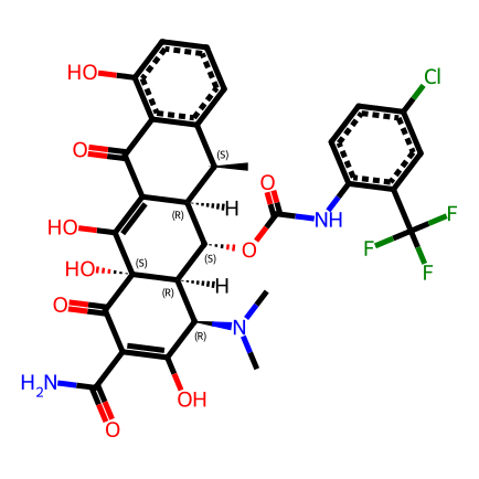 C[C@@H]1c2cccc(O)c2C(=O)C2=C(O)[C@]3(O)C(=O)C(C(N)=O)=C(O)[C@H](N(C)C)[C@@H]3[C@@H](OC(=O)Nc3ccc(Cl)cc3C(F)(F)F)[C@@H]21